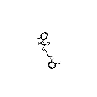 Cc1ccccc1NC(=O)OCCOc1ccccc1Cl